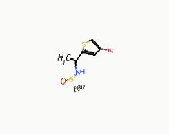 CC(N[S@@+]([O-])C(C)(C)C)c1cc(Br)cs1